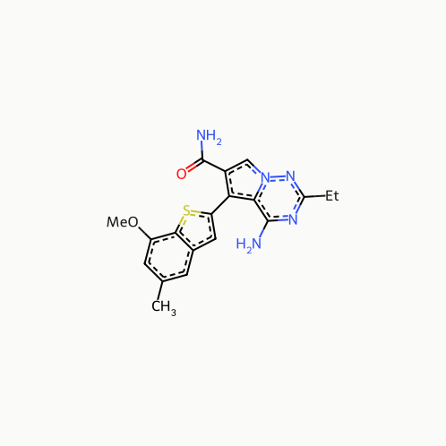 CCc1nc(N)c2c(-c3cc4cc(C)cc(OC)c4s3)c(C(N)=O)cn2n1